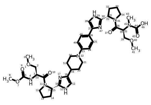 COC[C@H](NC(=O)OC)C(=O)N1CCC[C@H]1c1nc(C2CCN(c3ccc(-c4c[nH]c([C@@H]5CCCN5C(=O)[C@H](COC)N(C)C(=O)O)n4)cc3)CC2)c[nH]1